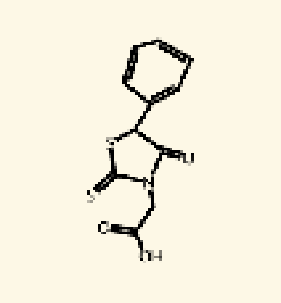 O=C(O)CN1C(=O)C(c2ccccc2)SC1=S